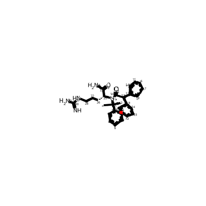 CC(C)(c1ccccc1)N(C(=O)C(c1ccccc1)c1ccccc1)[C@H](CCCNC(=N)N)C(N)=O